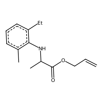 C=CCOC(=O)C(C)Nc1c(C)cccc1CC